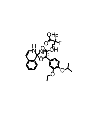 CCOc1cc(C(OC2(N)NC=Cc3ccccc32)C(=O)O)ccc1OC(C)C.O=C(O)C(F)(F)F